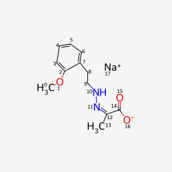 COc1ccccc1CCNN=C(C)C(=O)[O-].[Na+]